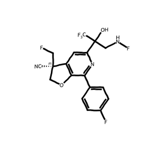 N#C[C@@]1(CF)COc2c1cc(C(O)(CNF)C(F)(F)F)nc2-c1ccc(F)cc1